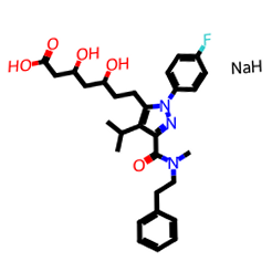 CC(C)c1c(C(=O)N(C)CCc2ccccc2)nn(-c2ccc(F)cc2)c1CCC(O)CC(O)CC(=O)O.[NaH]